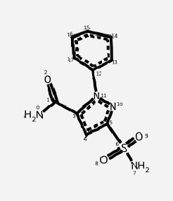 NC(=O)c1cc(S(N)(=O)=O)nn1-c1ccccc1